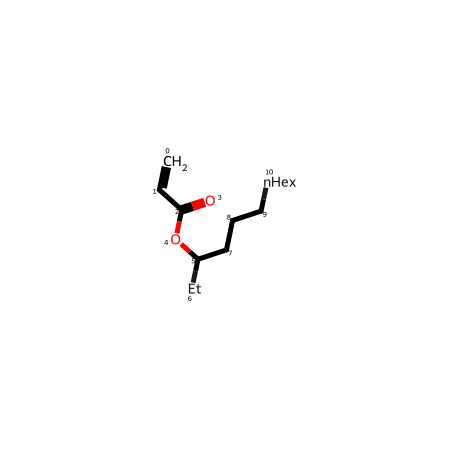 C=CC(=O)OC(CC)CCCCCCCCC